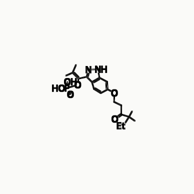 CCC(C)(C)C(=O)CCOc1ccc2c(C(OP(=O)(O)O)=C(C)C)n[nH]c2c1